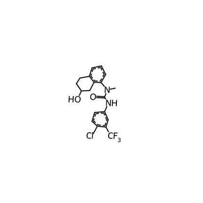 CN(C(=O)Nc1ccc(Cl)c(C(F)(F)F)c1)c1cccc2c1CC(O)CC2